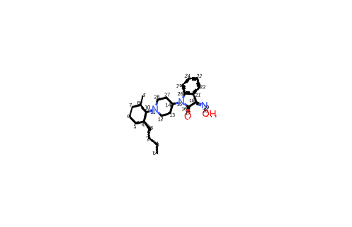 CCCCC1CCCC(C)C1N1CCC(N2C(=O)/C(=N\O)c3ccccc32)CC1